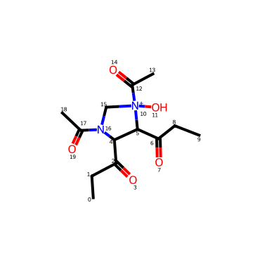 CCC(=O)C1C(C(=O)CC)[N+](O)(C(C)=O)CN1C(C)=O